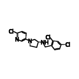 Clc1ccc(CNC2CCN(c3ccc(Cl)nc3)C2)c(Cl)c1